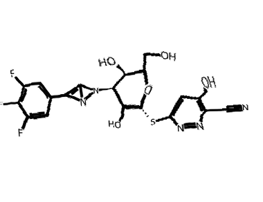 N#Cc1nnc(S[C@H]2OC(CO)[C@H](O)[C@H](n3c4c(-c5cc(F)c(F)c(F)c5)n3-4)C2O)cc1O